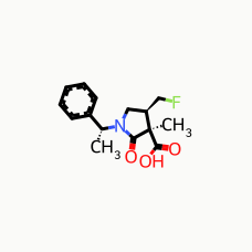 C[C@H](c1ccccc1)N1C[C@@H](CF)[C@@](C)(C(=O)O)C1=O